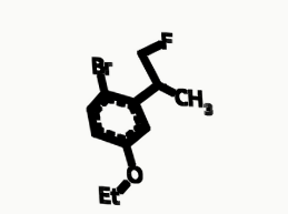 CCOc1ccc(Br)c([C](C)CF)c1